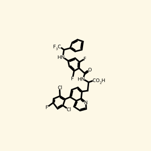 O=C(NC(Cc1ccc(-c2c(Cl)cc(F)cc2Cl)c2cccnc12)C(=O)O)c1c(F)cc(NC(c2ccccc2)C(F)(F)F)cc1F